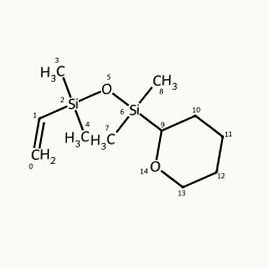 C=C[Si](C)(C)O[Si](C)(C)C1CCCCO1